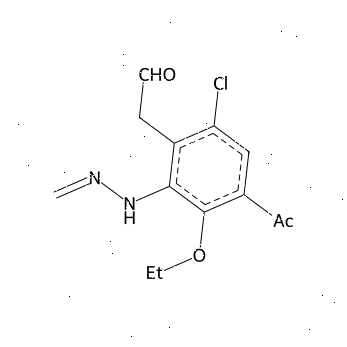 C=NNc1c(CC=O)c(Cl)cc(C(C)=O)c1OCC